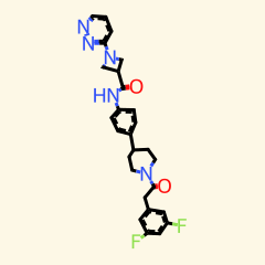 O=C(Nc1ccc(C2CCN(C(=O)Cc3cc(F)cc(F)c3)CC2)cc1)C1CN(c2cccnn2)C1